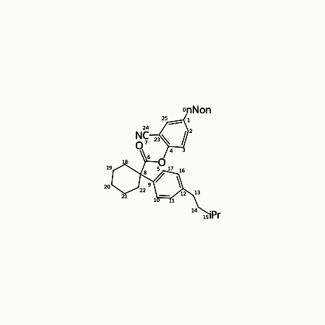 CCCCCCCCCc1ccc(OC(=O)C2(c3ccc(CCC(C)C)cc3)CCCCC2)c(C#N)c1